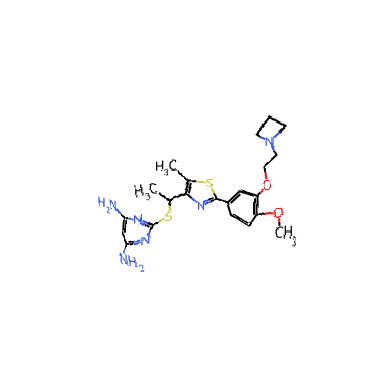 COc1ccc(-c2nc(C(C)Sc3nc(N)cc(N)n3)c(C)s2)cc1OCCN1CCC1